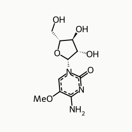 COc1cn([C@@H]2O[C@H](CO)[C@@H](O)[C@@H]2O)c(=O)nc1N